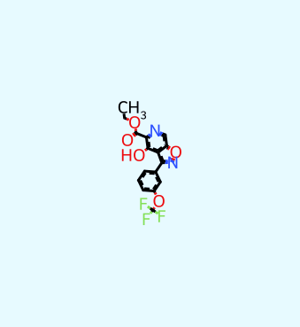 CCOC(=O)c1ncc2onc(-c3cccc(OC(F)(F)F)c3)c2c1O